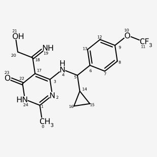 Cc1nc(NC(c2ccc(OC(F)(F)F)cc2)C2CC2)c(C(=N)CO)c(=O)[nH]1